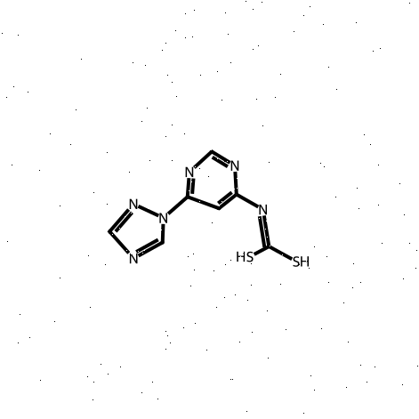 SC(S)=Nc1cc(-n2cncn2)ncn1